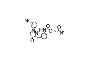 CN(C)C(=O)CCOC(=O)Nc1cccc(Cc2nn(-c3cccc(C#N)c3)ccc2=O)c1